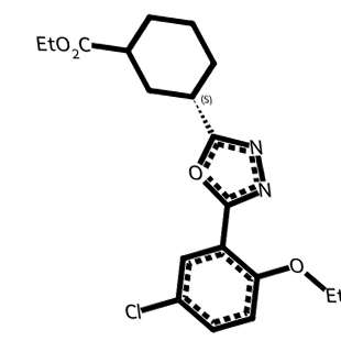 CCOC(=O)C1CCC[C@H](c2nnc(-c3cc(Cl)ccc3OCC)o2)C1